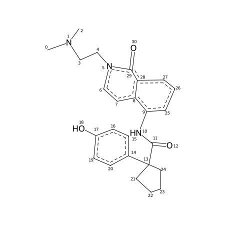 CN(C)CCn1ccc2c(NC(=O)C3(c4ccc(O)cc4)CCCC3)cccc2c1=O